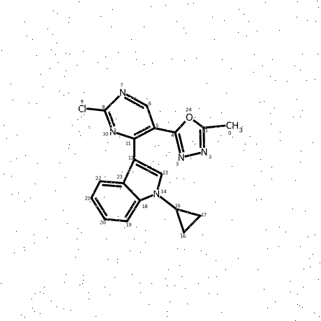 Cc1nnc(-c2cnc(Cl)nc2-c2cn(C3CC3)c3ccccc23)o1